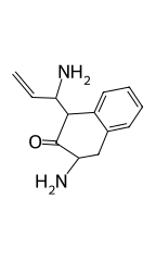 C=CC(N)C1C(=O)C(N)Cc2ccccc21